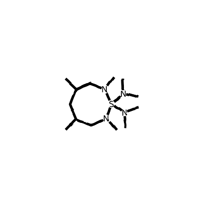 CC1CC(C)CN(C)S(N(C)C)(N(C)C)N(C)C1